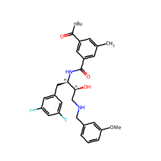 CCCCC(=O)c1cc(C)cc(C(=O)N[C@H](Cc2cc(F)cc(F)c2)[C@@H](O)CNCc2cccc(OC)c2)c1